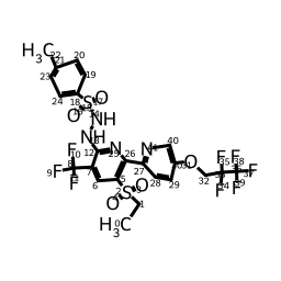 CCS(=O)(=O)c1cc(C(F)(F)F)c(NNS(=O)(=O)c2ccc(C)cc2)nc1-c1ccc(OCC(F)(F)C(F)(F)F)cn1